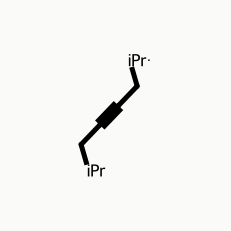 C[C](C)CC#CCC(C)C